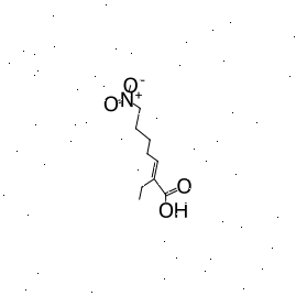 CC/C(=C\CCCC[N+](=O)[O-])C(=O)O